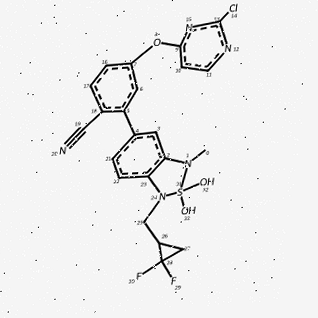 CN1c2cc(-c3cc(Oc4ccnc(Cl)n4)ccc3C#N)ccc2N(CC2CC2(F)F)S1(O)O